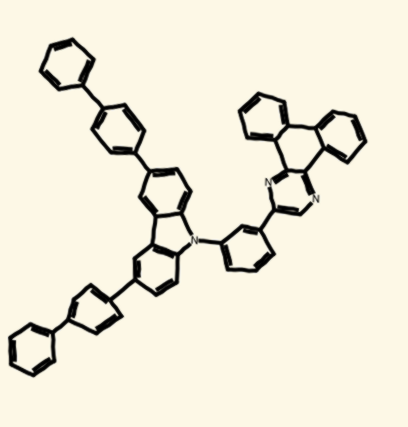 c1ccc(-c2ccc(-c3ccc4c(c3)c3cc(-c5ccc(-c6ccccc6)cc5)ccc3n4-c3cccc(-c4cnc5c6ccccc6c6ccccc6c5n4)c3)cc2)cc1